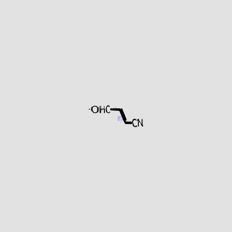 N#C/C=C/[C]=O